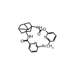 CC(=O)c1cccc(C(=O)NC23CC4CC(CC(NC(=O)Oc5cccc(C)n5)(C4)C2)C3)n1